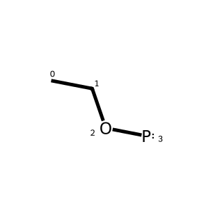 CCO[P]